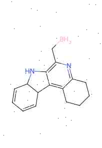 BCc1nc2c(c3c1NC1C=CC=CC31)CCCC2